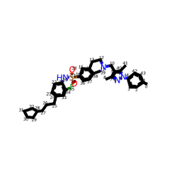 Cc1ccc(-n2nc(C)c(CN3CCc4cc(S(=O)(=O)Nc5ccc(CCCC6CCCC6)cc5F)ccc4C3)c2C)cc1